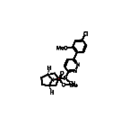 COc1cc(Cl)ccc1-c1ccc(N(C)C2C[C@H]3CC[C@@H](C2)N3C(=O)OC(C)(C)C)nn1